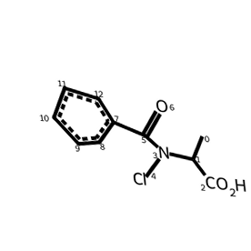 CC(C(=O)O)N(Cl)C(=O)c1ccccc1